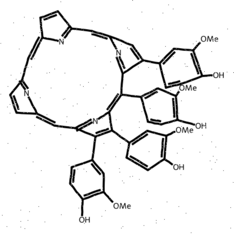 COc1cc(C2=CC3=CC4=NC(=CC5=NC(=CC6=NC(=C(c7ccc(O)c(OC)c7)C2=N3)C(c2ccc(O)c(OC)c2)=C6c2ccc(O)c(OC)c2)C=C5)C=C4)ccc1O